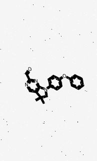 CC1(C)CN(c2ccc(Oc3ccccc3)cc2)c2nc(C=O)ncc21